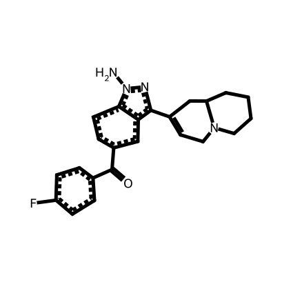 Nn1nc(C2=CCN3CCCCC3C2)c2cc(C(=O)c3ccc(F)cc3)ccc21